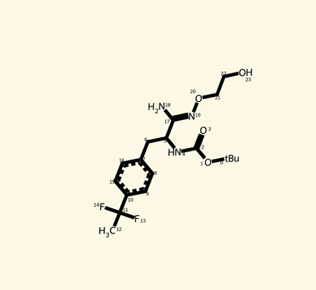 CC(C)(C)OC(=O)NC(Cc1ccc(C(C)(F)F)cc1)/C(N)=N/OCCO